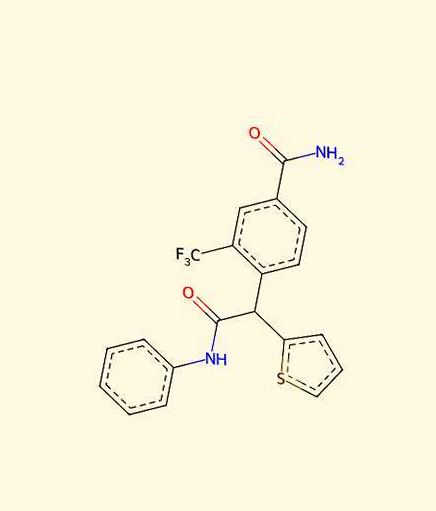 NC(=O)c1ccc(C(C(=O)Nc2ccccc2)c2cccs2)c(C(F)(F)F)c1